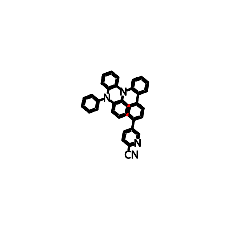 N#Cc1ccc(-c2ccc(-c3ccccc3N3c4ccccc4N(c4ccccc4)c4ccccc43)cc2)cn1